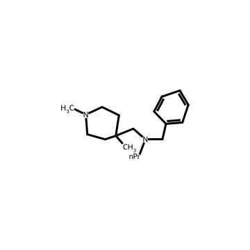 CCCN(Cc1ccccc1)CC1(C)CCN(C)CC1